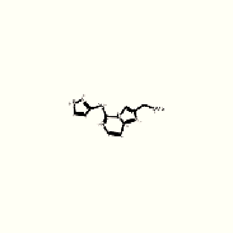 COCc1cn2c(Nc3cc[nH]n3)nccc2n1